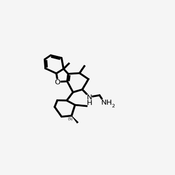 CC1CC(NCN)C(C2CCC[C@H](C)C2C)C2=C1C1(C)C=CC=CC1O2